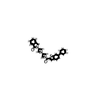 O=C(c1cc2ccc(-c3ccccc3)cc2s1)N1CC(N2CC(N3Cc4ccccc4C3=O)C2)C1